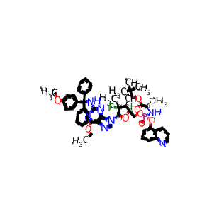 CCOc1nc(NC(c2ccccc2)(c2ccccc2)c2ccc(OC)cc2)nc2c1ncn2[C@@H]1O[C@](F)(COP(=O)(N[C@@H](C)C(=O)OCC(C)(C)C)Oc2cccc3ncccc23)[C@@H](C)[C@@]1(C)F